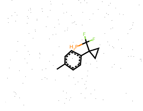 Cc1ccc(C2(C(F)(F)P)CC2)cc1